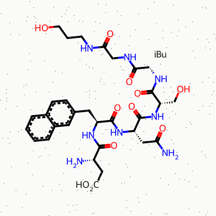 CC[C@H](C)[C@H](NC(=O)[C@H](CO)NC(=O)[C@H](CC(N)=O)NC(=O)[C@H](Cc1ccc2ccccc2c1)NC(=O)[C@@H](N)CC(=O)O)C(=O)NCC(=O)NCCCO